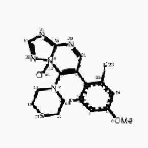 COc1cc(F)c(C2=C(N3CCSCC3)[N+]3(Cl)N=CN=C3N=C2)c(F)c1